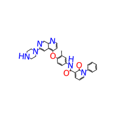 Cc1cc(NC(=O)c2cccn(-c3ccccc3)c2=O)ccc1Oc1ccnc2cnc(N3CCNCC3)cc12